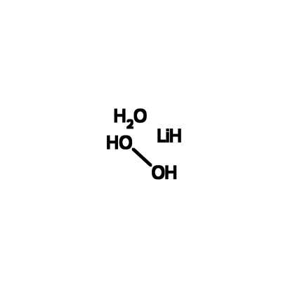 O.OO.[LiH]